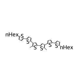 CCCCCCc1ccc(-c2ccc(-c3cc(-c4cc(-c5ccc(-c6ccc(CCCCCC)s6)s5)c(C)s4)sc3C)s2)s1